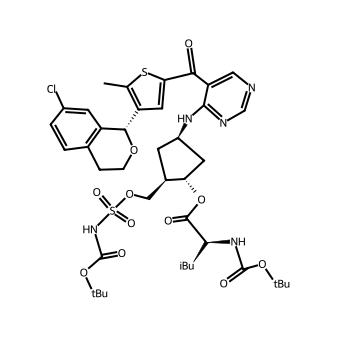 CC[C@H](C)[C@H](NC(=O)OC(C)(C)C)C(=O)O[C@H]1C[C@H](Nc2ncncc2C(=O)c2cc([C@@H]3OCCc4ccc(Cl)cc43)c(C)s2)C[C@@H]1COS(=O)(=O)NC(=O)OC(C)(C)C